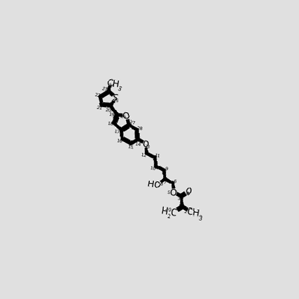 C=C(C)C(=O)OCC(O)CCCCOc1ccc2cc(-c3ccc(C)s3)oc2c1